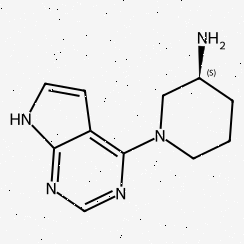 N[C@H]1CCCN(c2ncnc3[nH]ccc23)C1